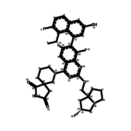 CCc1c(F)ccc2cc(O)cc(-c3c(F)cc4c(N5CCCC6(CC(=O)NC6=O)C5)nc(OC[C@@]56CCCN5C[C@H](F)C6)nc4c3F)c12